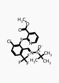 COC(=O)c1cccnc1Sc1c(Cl)ccc(C(F)(F)F)c1/C=N/[S+]([O-])C(C)(C)C